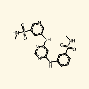 CNS(=O)(=O)c1cccc(Nc2cc(Nc3cncc(S(=O)(=O)NC)c3)ncn2)c1